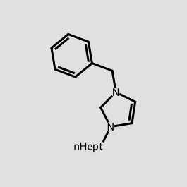 CCCCCCCN1C=CN(Cc2ccccc2)C1